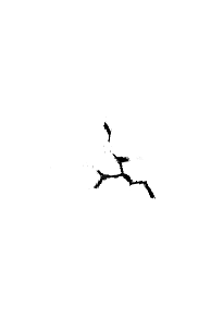 C=C/C=C(\C(=O)NC=C)C(C)CCCCCC